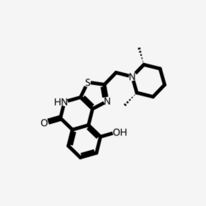 C[C@@H]1CCC[C@H](C)N1Cc1nc2c([nH]c(=O)c3cccc(O)c32)s1